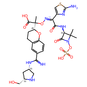 CC(O/N=C(\C(=O)N[C@@H]1C(=O)N(OS(=O)(=O)O)C1(C)C)c1csc(N)n1)(C(=O)O)[C@H]1CCc2cc(C(=N)N[C@@H]3CN[C@H](CO)C3)ccc2O1